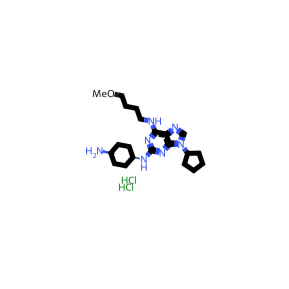 COCCCCNc1nc(N[C@H]2CC[C@H](N)CC2)nc2c1ncn2C1CCCC1.Cl.Cl